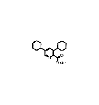 COC(=O)c1ncc(C2CCCCC2)cc1C1CCCCC1